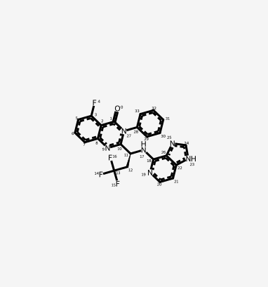 O=c1c2c(F)cccc2nc([C@H](CC(F)(F)F)Nc2nccc3[nH]cnc23)n1-c1ccccc1